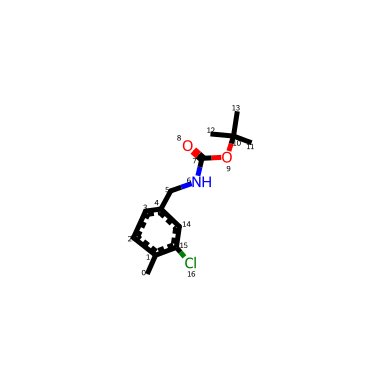 Cc1ccc(CNC(=O)OC(C)(C)C)cc1Cl